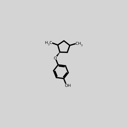 CC1CC(C)[C@H](Oc2ccc(O)cc2)C1